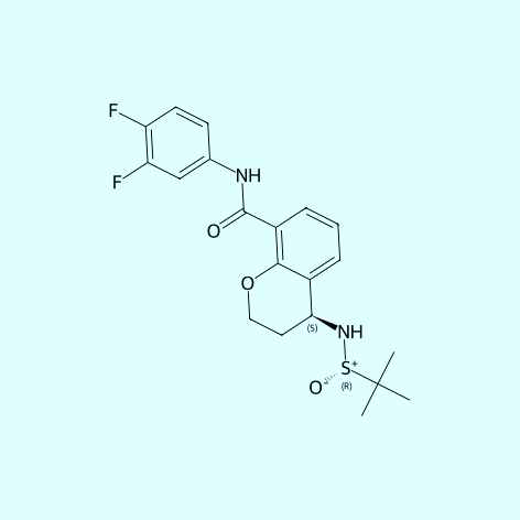 CC(C)(C)[S@+]([O-])N[C@H]1CCOc2c(C(=O)Nc3ccc(F)c(F)c3)cccc21